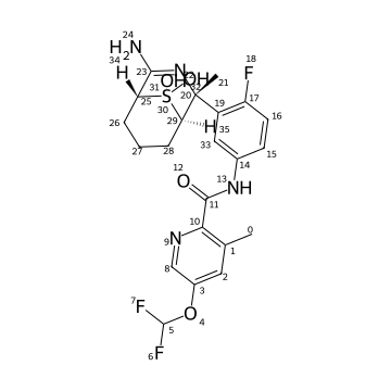 Cc1cc(OC(F)F)cnc1C(=O)Nc1ccc(F)c([C@@]2(C)N=C(N)[C@H]3CCC[C@H]2S3(O)O)c1